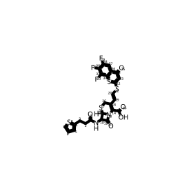 O=C(CCc1cccs1)NC1C(=O)N2C(C(=O)O)=C(/C=C/Sc3cc(=O)c4cc(F)c(F)c(F)c4s3)CS[C@H]12